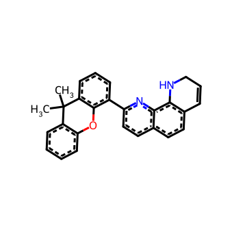 CC1(C)c2ccccc2Oc2c(-c3ccc4ccc5c(c4n3)NCC=C5)cccc21